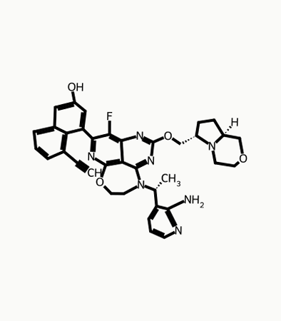 C#Cc1cccc2cc(O)cc(-c3nc4c5c(nc(OC[C@@H]6CC[C@H]7COCCN76)nc5c3F)N([C@H](C)c3cccnc3N)CCO4)c12